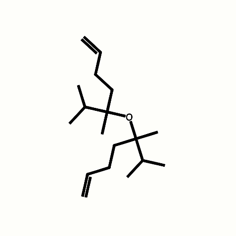 C=CCCC(C)(OC(C)(CCC=C)C(C)C)C(C)C